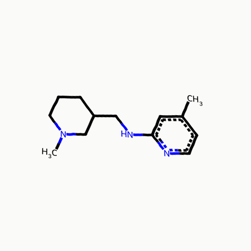 Cc1ccnc(NCC2CCCN(C)C2)c1